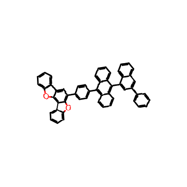 c1ccc(-c2cc(-c3c4ccccc4c(-c4ccc(-c5cc6c7ccccc7oc6c6c5oc5ccccc56)cc4)c4ccccc34)c3ccccc3c2)cc1